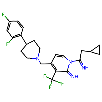 N=C(CC1CC1)n1ccc(CN2CCC(c3ccc(F)cc3F)CC2)c(C(F)(F)F)c1=N